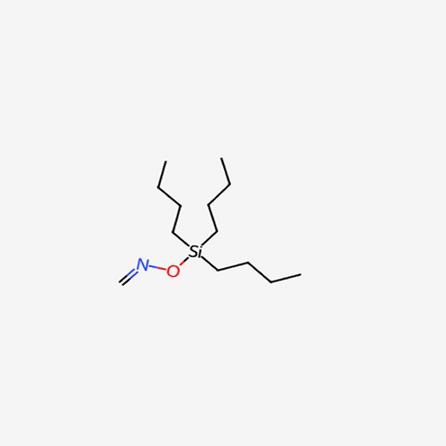 C=NO[Si](CCCC)(CCCC)CCCC